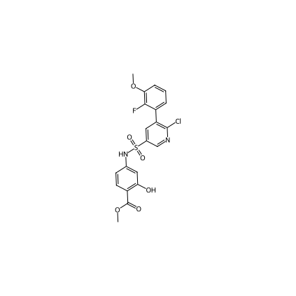 COC(=O)c1ccc(NS(=O)(=O)c2cnc(Cl)c(-c3cccc(OC)c3F)c2)cc1O